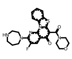 O=C(c1c(=O)c2cc(F)c(N3CCCNCC3)nc2n2c1sc1ccccc12)N1CCOCC1